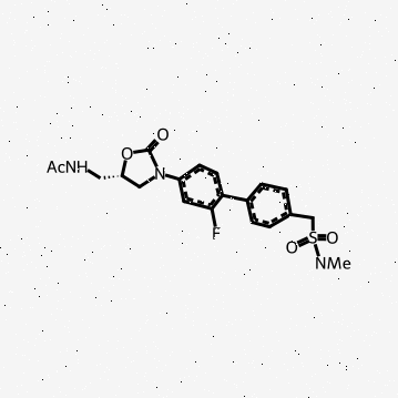 CNS(=O)(=O)Cc1ccc(-c2ccc(N3C[C@H](CNC(C)=O)OC3=O)cc2F)cc1